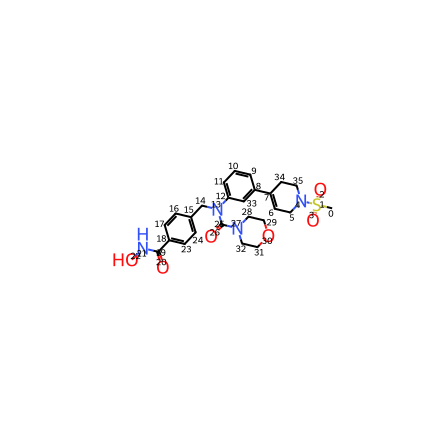 CS(=O)(=O)N1CC=C(c2cccc(N(Cc3ccc(C(=O)NO)cc3)C(=O)N3CCOCC3)c2)CC1